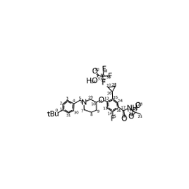 CC(C)(C)c1ccc(CN2CCCC(Oc3cc(F)c(C(=O)NS(C)(=O)=O)cc3C3CC3)C2)cc1.O=C(O)C(F)(F)F